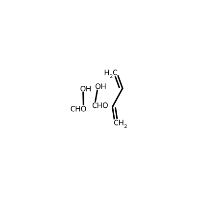 C=CC=C.O=CO.O=CO